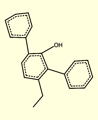 CCc1ccc(-c2ccccc2)c(O)c1-c1ccccc1